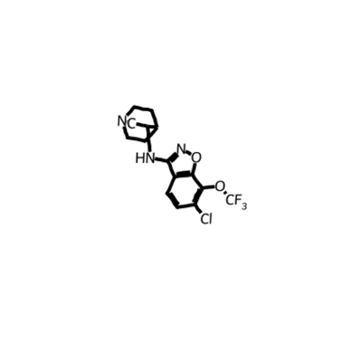 FC(F)(F)Oc1c(Cl)ccc2c(NC3CN4CCC3CC4)noc12